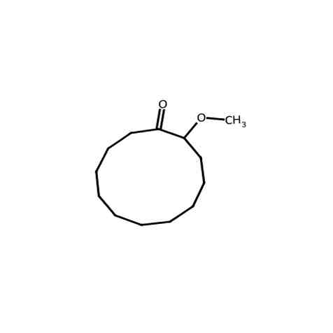 COC1CCCCCCCCCCC1=O